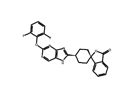 O=C1O[C@]2(CC[C@H](c3nc4nc(Oc5c(F)cccc5F)ncc4[nH]3)CC2)c2ccccc21